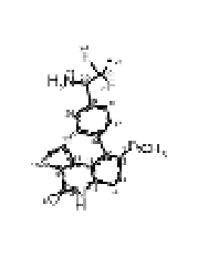 COc1ccc2[nH]c(=O)c3sccc3c2c1-c1ccc(C(N)C(F)(F)F)cc1